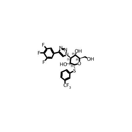 OC[C@H]1O[C@H](Sc2cccc(C(F)(F)F)c2)[C@H](O)[C@@H](n2cc(-c3cc(F)c(F)c(F)c3)nn2)[C@H]1O